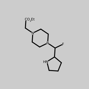 CCOC(=O)CN1CCN(C(F)C2CCCN2)CC1